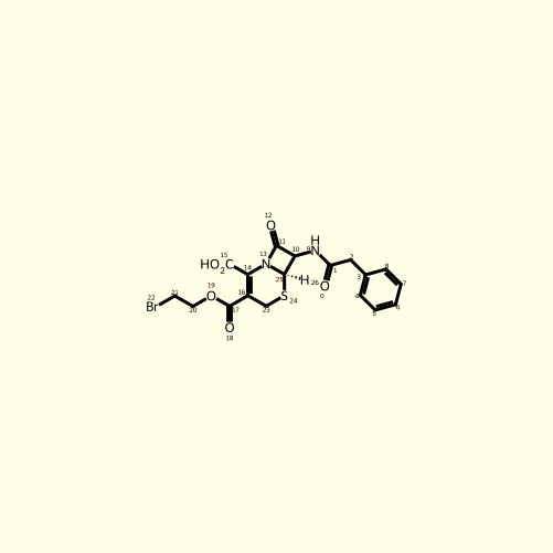 O=C(Cc1ccccc1)NC1C(=O)N2C(C(=O)O)=C(C(=O)OCCBr)CS[C@H]12